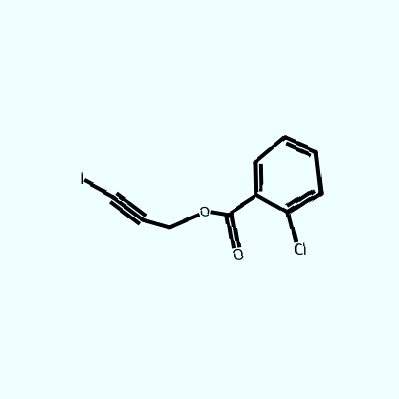 O=C(OCC#CI)c1ccccc1Cl